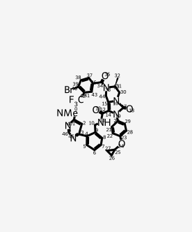 CNc1cc(-c2ccccc2CNC(=O)c2c3n(c(=O)n2-c2ccc(OC4CC4)cc2)C[C@H](C)N(C(=O)c2ccc(Br)c(C(F)(F)F)c2)C3)ncn1